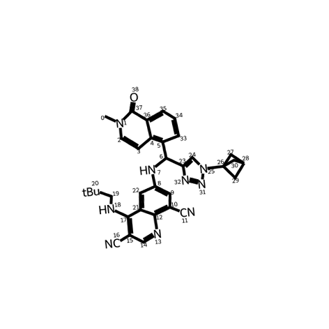 Cn1ccc2c(C(Nc3cc(C#N)c4ncc(C#N)c(NCC(C)(C)C)c4c3)c3cn(C45CC(C4)C5)nn3)cccc2c1=O